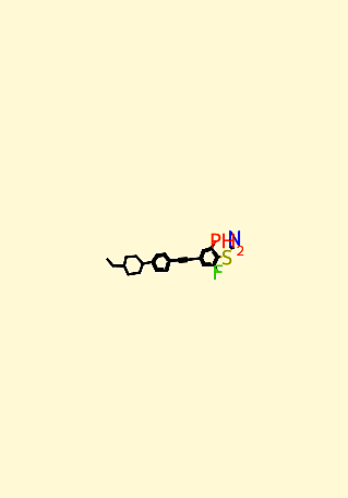 CCC1CCC(c2ccc(C#Cc3cc(F)c(SC#N)c(P)c3)cc2)CC1